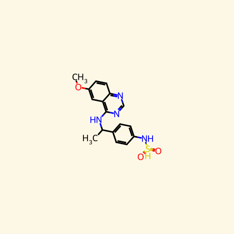 COc1ccc2ncnc(NC(C)c3ccc(N[SH](=O)=O)cc3)c2c1